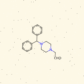 O=[C]CN1CCN(C(c2ccccc2)c2ccccc2)CC1